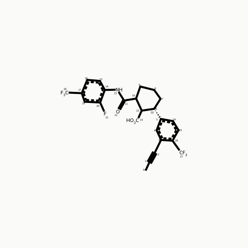 CC#Cc1cc([C@H]2CCCC(C(=O)Nc3ccc(C(F)(F)F)cc3F)C2C(=O)O)ccc1C(F)(F)F